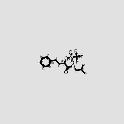 CC(C)COC(=O)[C@@H](CCc1ccccc1)OS(=O)(=O)C(F)(F)F